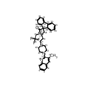 Cc1cc2ccccc2nc1N1CCN(CCCCC2(C(=O)NCC(F)(F)F)c3ccccc3-c3ccccc32)CC1